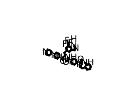 CN1CCC(N2CCN(C(=O)C(Cc3cc(C(F)(F)F)c4[nH]ncc4c3)NC(=O)N3CCC(N4CCc5ccccc5NC4=O)CC3)CC2)CC1